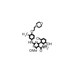 COc1nc(Nc2ccc(OCCN3CCOCC3)c(C)c2)nc(-c2c(Cl)ccc(O)c2C)c1C(N)=O